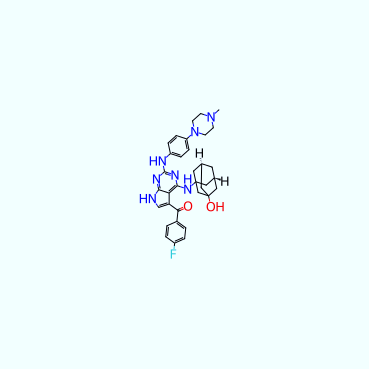 CN1CCN(c2ccc(Nc3nc(NC45C[C@@H]6C[C@@H](CC(O)(C6)C4)C5)c4c(C(=O)c5ccc(F)cc5)c[nH]c4n3)cc2)CC1